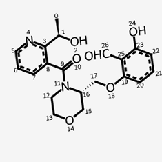 C[C@@H](O)c1ncccc1C(=O)N1CCOC[C@H]1COc1cccc(O)c1C=O